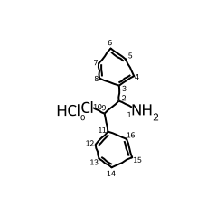 Cl.NC(c1ccccc1)C(Cl)c1ccccc1